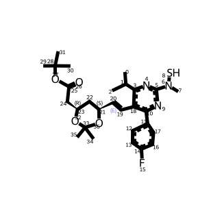 CC(C)c1nc(N(C)S)nc(-c2ccc(F)cc2)c1/C=C/[C@@H]1C[C@H](CC(=O)OC(C)(C)C)OC(C)(C)O1